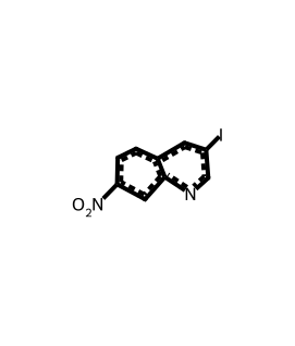 O=[N+]([O-])c1ccc2cc(I)cnc2c1